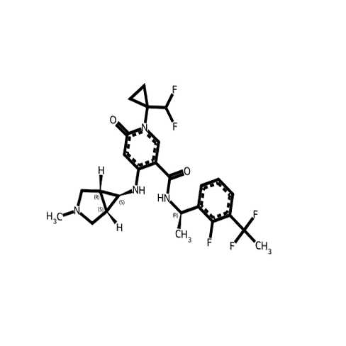 C[C@@H](NC(=O)c1cn(C2(C(F)F)CC2)c(=O)cc1N[C@H]1[C@@H]2CN(C)C[C@@H]21)c1cccc(C(C)(F)F)c1F